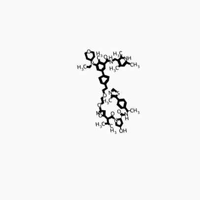 CCN(c1cc(-c2ccc(CCOCCOc3cc(C(C(=O)N4C[C@H](O)C[C@H]4C(=O)N[C@@H](C)c4ccc(-c5scnc5C)cc4)C(C)C)on3)cc2)cc(C(=O)NCC2=C(C)C=C(C)NC2C)c1C)C1CCOCC1